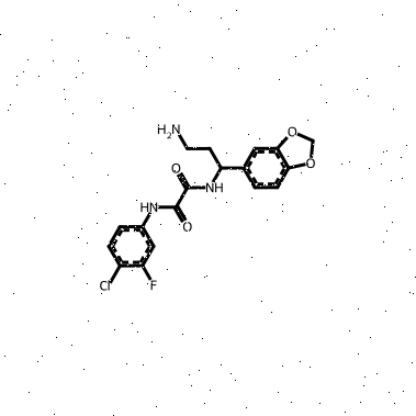 NCCC(NC(=O)C(=O)Nc1ccc(Cl)c(F)c1)c1ccc2c(c1)OCO2